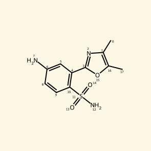 Cc1nc(-c2cc(N)ccc2S(N)(=O)=O)oc1C